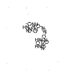 Cc1ccc(NC(=O)c2ccc(CN3CCN(Cc4ccc(C(=O)Nc5ccc(C)c(Nc6nccc(-c7cccnc7)n6)c5)cc4)CC3)cc2)cc1Nc1nccc(-c2cccnc2)n1